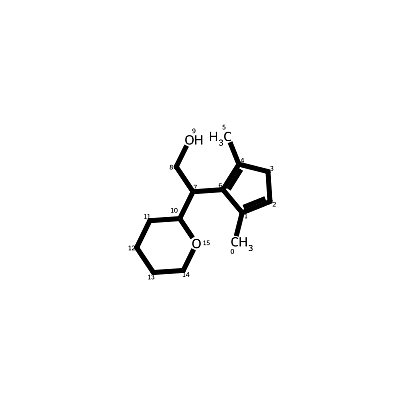 CC1=CCC(C)=C1C(CO)C1CCCCO1